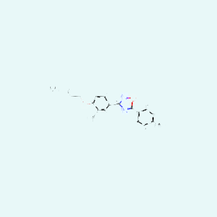 COCCOc1ccc(-c2noc(-c3ccc(C(C)=O)cc3)n2)cc1C(C)(C)C